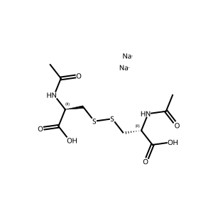 CC(=O)N[C@@H](CSSC[C@H](NC(C)=O)C(=O)O)C(=O)O.[Na].[Na]